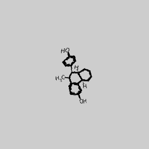 C[C@@H]1c2ccc(O)cc2[C@@H]2CCCC[C@@H]2[C@@H]1c1ccc(O)cc1